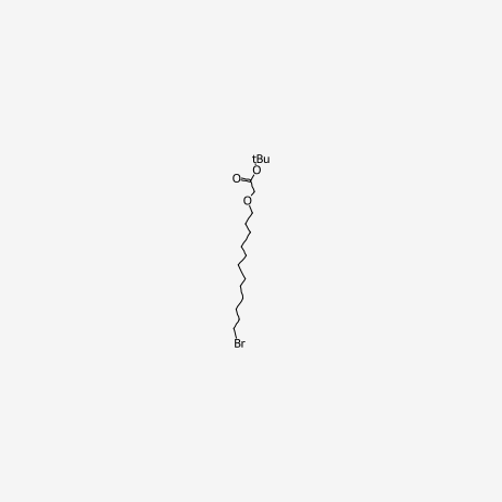 CC(C)(C)OC(=O)COCCCCCCCCCCCCBr